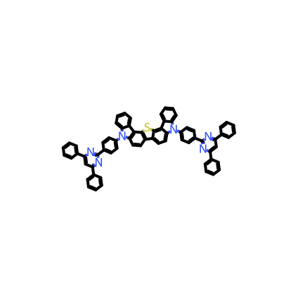 c1ccc(-c2cc(-c3ccccc3)nc(-c3ccc(-n4c5ccccc5c5c6sc7c(ccc8c7c7ccccc7n8-c7ccc(-c8nc(-c9ccccc9)cc(-c9ccccc9)n8)cc7)c6ccc54)cc3)n2)cc1